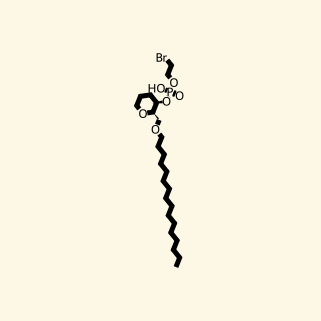 CCCCCCCCCCCCCCCCOC[C@@H]1OCCC[C@H]1OP(=O)(O)OCCBr